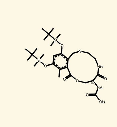 Cc1c(O[Si](C)(C)C(C)(C)C)cc(O[Si](C)(C)C(C)(C)C)c2c1C(=O)OC[C@H](NC(=O)O)C(=O)NCCSC2